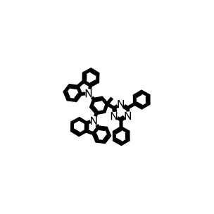 CC1(c2nc(-c3ccccc3)nc(-c3ccccc3)n2)C=C(n2c3ccccc3c3ccccc32)C=C(n2c3c(c4ccccc42)C=CCC3)C1